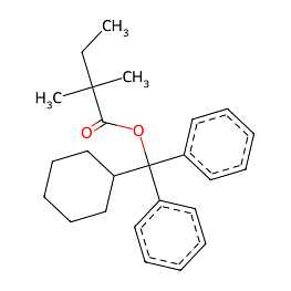 CCC(C)(C)C(=O)OC(c1ccccc1)(c1ccccc1)C1CCCCC1